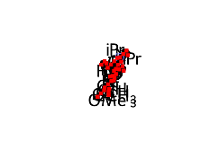 CCC(C)(C)C(=O)NC(CSc1c(F)c(F)c(S(=O)(=O)NS(=O)(=O)c2ccccc2-c2c3cc/c(=N\c4c(C(C)C)cccc4C(C)C)cc-3oc3cc(Nc4c(C(C)C)cccc4C(C)C)ccc23)c(F)c1F)C(=O)OCCOCCOC